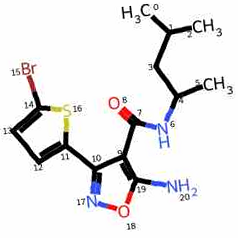 CC(C)CC(C)NC(=O)c1c(-c2ccc(Br)s2)noc1N